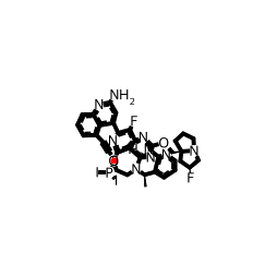 C[C@H](c1cccnc1N)N1CCOc2nc(-c3cc(N)nc4cccc(C#CSP(I)I)c34)c(F)c3nc(OC[C@@]45CCCN4C[C@H](F)C5)nc1c23